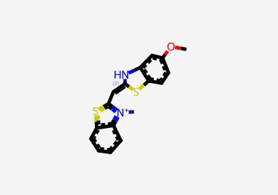 COc1ccc2c(c1)N/C(=C/c1sc3ccccc3[n+]1C)S2